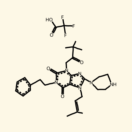 CC(C)=CCn1c(N2CCNCC2)nc2c1c(=O)n(CCc1ccccc1)c(=O)n2CC(=O)C(C)(C)C.O=C(O)C(F)(F)F